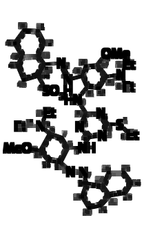 CCSc1nc(Nc2cc(N(CC)CC)c(OC)cc2/N=N/c2cccc3ccccc23)nc(Nc2cc(N(CC)CC)c(OC)cc2/N=N/c2c(S(=O)(=O)O)ccc3ccccc23)n1